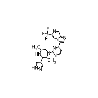 CC1CN(c2nccc(-c3cnc4cnc(C(F)(F)F)cn34)n2)C(C)C(c2cn[nH]c2)N1